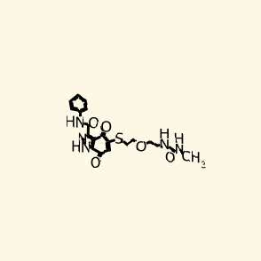 CNC(=O)NCCOCCSC1=CC(=O)c2[nH]nc(C(=O)Nc3ccccc3)c2C1=O